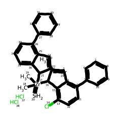 CC1=Cc2c(-c3ccccc3)ccc(Cl)c2[CH]1[Zr]([CH3])([CH3])(=[SiH2])[CH]1C(C(C)C)=Cc2c(-c3ccccc3)cccc21.Cl.Cl